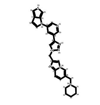 c1cc2nc(Cn3cc(-c4cncc(-n5ccc6cscc65)c4)nn3)cn2cc1CN1CCCCC1